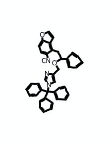 N#Cc1ccc2occc2c1CC(OCc1cn(C(c2ccccc2)(c2ccccc2)c2ccccc2)cn1)c1ccccc1